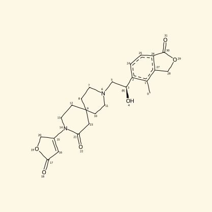 Cc1c([C@@H](O)CN2CCC3(CC2)CCN(C2=CC(=O)OC2)C(=O)C3)ccc2c1COC2=O